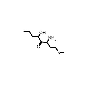 CCCC(O)C(=O)[C@@H](N)CCSC